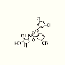 CN1CC(NS(=O)(=O)c2cc(C#N)ccc2Oc2cc(Cl)cc(Cl)c2)C(=O)C1O